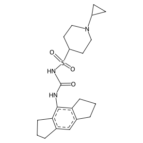 O=C(Nc1c2c(cc3c1CCC3)CCC2)NS(=O)(=O)C1CCN(C2CC2)CC1